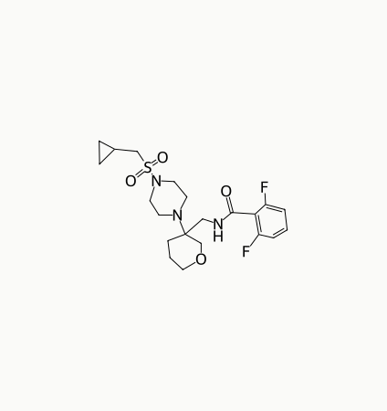 O=C(NCC1(N2CCN(S(=O)(=O)CC3CC3)CC2)CCCOC1)c1c(F)cccc1F